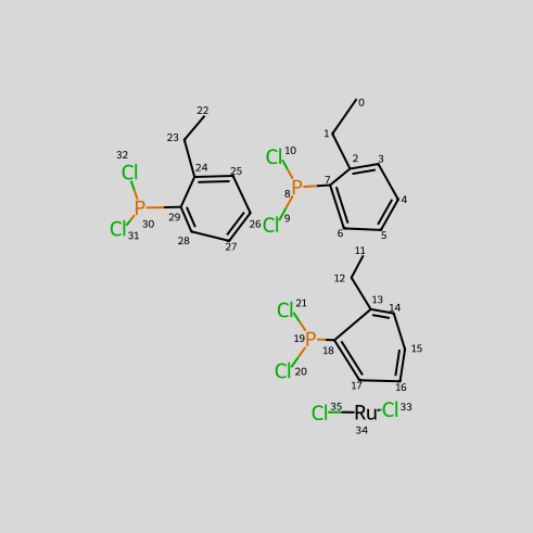 CCc1ccccc1P(Cl)Cl.CCc1ccccc1P(Cl)Cl.CCc1ccccc1P(Cl)Cl.[Cl][Ru][Cl]